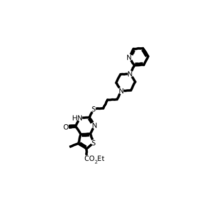 CCOC(=O)c1sc2nc(SCCCN3CCN(c4ccccn4)CC3)[nH]c(=O)c2c1C